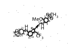 COc1cc(S(C)(=O)=O)ccc1NCC#Cc1sc2c(NC3CCC4(CC3)OCCO4)cccc2c1CC(F)(F)F